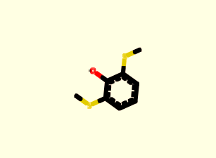 CSc1cccc(SC)c1[O]